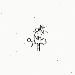 C=C1C(=O)C(NCC(C)(C)OP2N(C)[C@H](C)[C@@H](C)N2C)=C1Nc1ccccc1